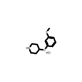 CSc1cccc(OC2CCNCC2)c1.Cl